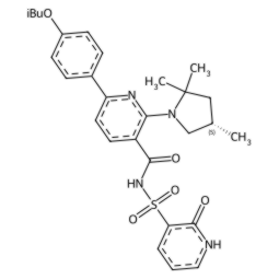 CC(C)COc1ccc(-c2ccc(C(=O)NS(=O)(=O)c3ccc[nH]c3=O)c(N3C[C@@H](C)CC3(C)C)n2)cc1